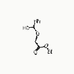 CCCC(O)OCC(=O)OCC